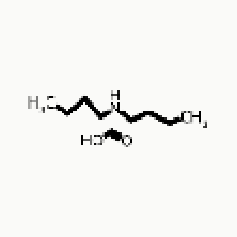 CCCCNCCCC.O=CO